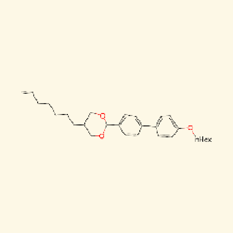 C=CCCCCCC1COC(c2ccc(-c3ccc(OCCCCCC)cc3)cc2)OC1